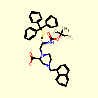 CC(C)(C)OC(=O)N[C@@H](CSC(c1ccccc1)(c1ccccc1)c1ccccc1)CN1CCN(Cc2cccc3ccccc23)CC1C(=O)O